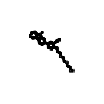 Cn1c2ccncc2c2ccc(-c3cnc(OCCOCCOCCO)c(C#N)c3)cc21